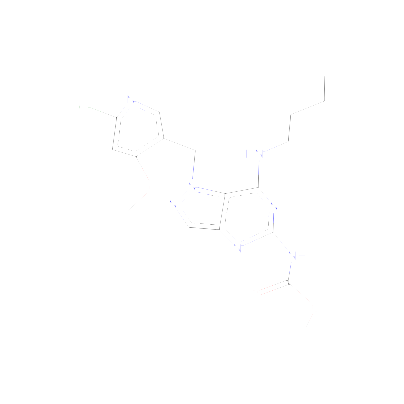 CCCCNc1nc(NC(=O)OC)nc2cnn(Cc3cnc(Cl)cc3OC)c12